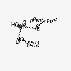 CCCCCC(CCCCC)CCCOC(=O)C(C)(C)CCCCCCOC(=O)[C@@H]1C[C@@H](O)CN1CCCCCCC(C)(C)C(=O)OCCCC(CCCCC)CCCCC